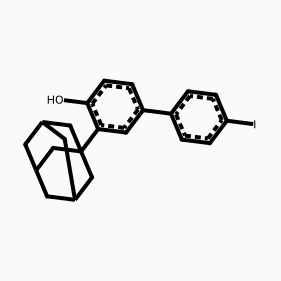 Oc1ccc(-c2ccc(I)cc2)cc1C12CC3CC(CC(C3)C1)C2